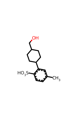 Cc1ccc(S(=O)(=O)O)c(C2CCC(CO)CC2)c1